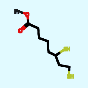 CC(C)OC(=O)CCCCC(S)CCS